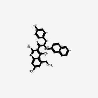 CCc1cc(C)cc2nc(O)c(C(=O)C(Cc3ccc(Cl)cc3)Nc3ccc4ccccc4c3)c(O)c12